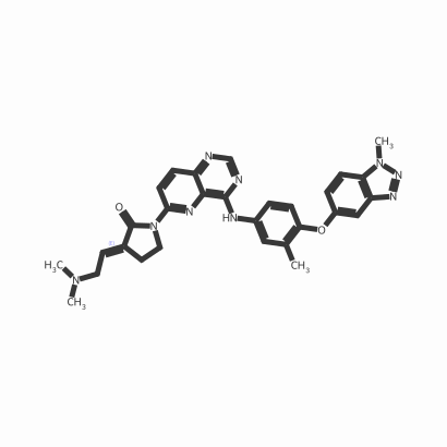 Cc1cc(Nc2ncnc3ccc(N4CC/C(=C\CN(C)C)C4=O)nc23)ccc1Oc1ccc2c(c1)nnn2C